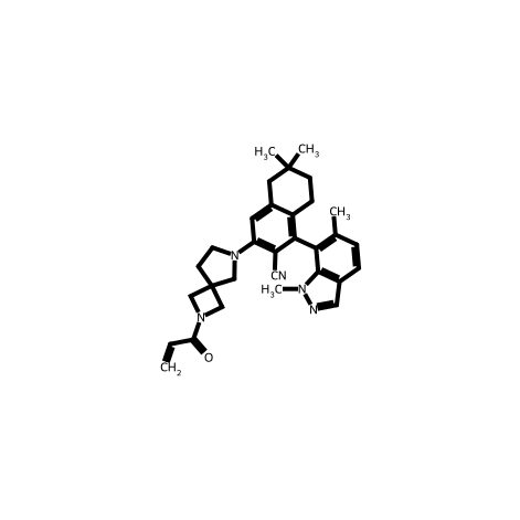 C=CC(=O)N1CC2(CCN(c3cc4c(c(-c5c(C)ccc6cnn(C)c56)c3C#N)CCC(C)(C)C4)C2)C1